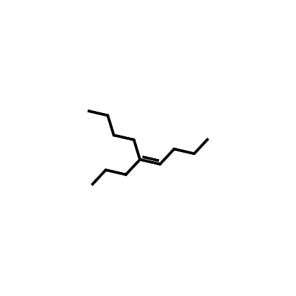 CCCC=C(CCC)CCCC